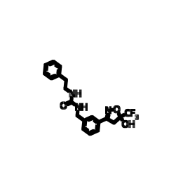 O=C(NCCc1ccccc1)NCc1cccc(C2=NOC(O)(C(F)(F)F)C2)c1